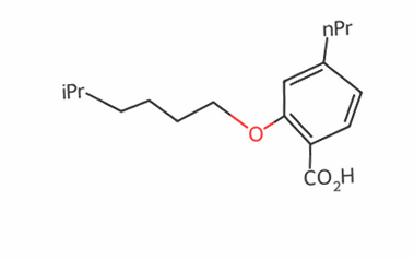 CCCc1ccc(C(=O)O)c(OCCCCC(C)C)c1